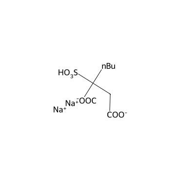 CCCCC(CC(=O)[O-])(C(=O)[O-])S(=O)(=O)O.[Na+].[Na+]